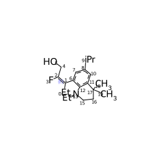 CC/C(=C(\F)CO)c1cc(C(C)C)cc2c1N(CC)CCC2(C)C